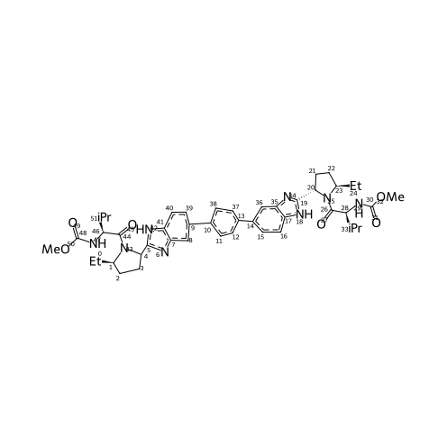 CC[C@@H]1CCC(c2nc3cc(-c4ccc(-c5ccc6[nH]c([C@@H]7CC[C@@H](CC)N7C(=O)[C@@H](NC(=O)OC)C(C)C)nc6c5)cc4)ccc3[nH]2)N1C(=O)[C@@H](NC(=O)OC)C(C)C